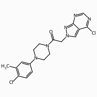 Cc1cc(N2CCN(C(=O)Cn3cc4c(Cl)ncnc4n3)CC2)ccc1Cl